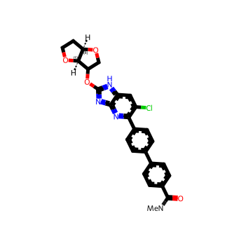 CNC(=O)c1ccc(-c2ccc(-c3nc4nc(OC5CO[C@@H]6CCO[C@H]56)[nH]c4cc3Cl)cc2)cc1